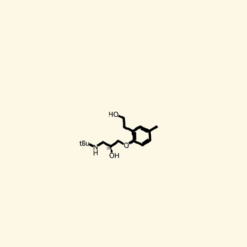 Cc1ccc(OC[C@@H](O)CNC(C)(C)C)c(CCO)c1